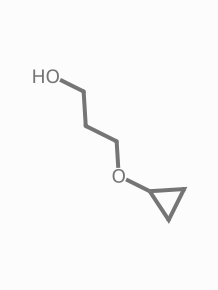 OCCCOC1CC1